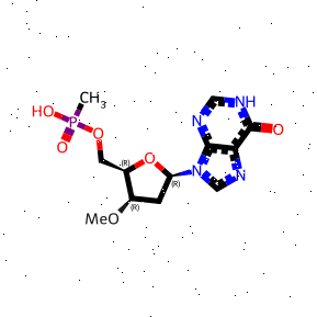 CO[C@@H]1C[C@H](n2cnc3c(=O)[nH]cnc32)O[C@@H]1COP(C)(=O)O